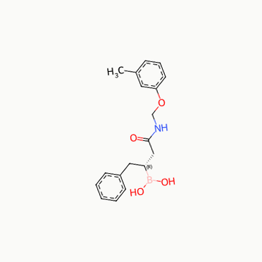 Cc1cccc(OCNC(=O)C[C@@H](Cc2ccccc2)B(O)O)c1